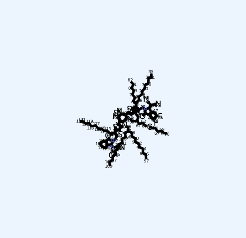 [C-]#[N+]/C(C#N)=C1/C(=C/c2sc3c(sc4c5c6nsnc6c6c7sc8c(CCCCCCCCCCC)c(/C=C9\C(=O)c%10cc(F)c(F)cc%10C9=C(C#N)C#N)sc8c7n(CC(CCCCCCCCCC)CCCCCCCCCCCC)c6c5n(CC(CCCCCCCCCC)CCCCCCCCCCCC)c34)c2CCCCCCCCCCC)C(=O)c2ccccc21